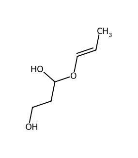 CC=COC(O)CCO